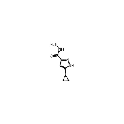 NNC(=O)c1cc(C2CC2)[nH]n1